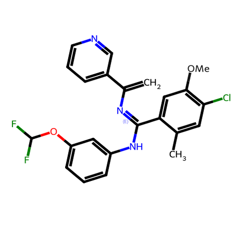 C=C(/N=C(/Nc1cccc(OC(F)F)c1)c1cc(OC)c(Cl)cc1C)c1cccnc1